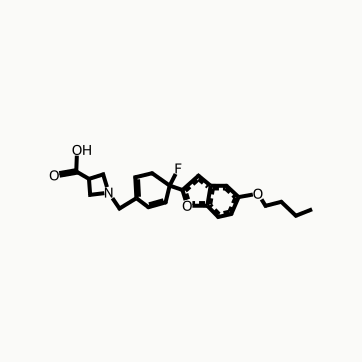 CCCCOc1ccc2oc(C3(F)C=CC(CN4CC(C(=O)O)C4)=CC3)cc2c1